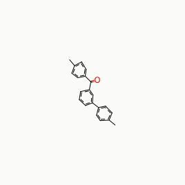 Cc1ccc(C(=O)c2cccc(-c3ccc(C)cc3)c2)cc1